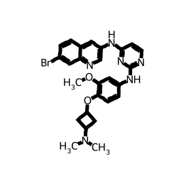 COc1cc(Nc2nccc(Nc3cnc4cc(Br)ccc4c3)n2)ccc1OC1CC(N(C)C)C1